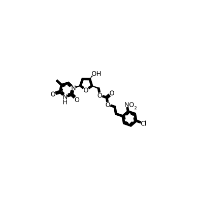 Cc1cn([C@H]2C[C@H](O)[C@@H](COC(=O)OCCc3ccc(Cl)cc3[N+](=O)[O-])O2)c(=O)[nH]c1=O